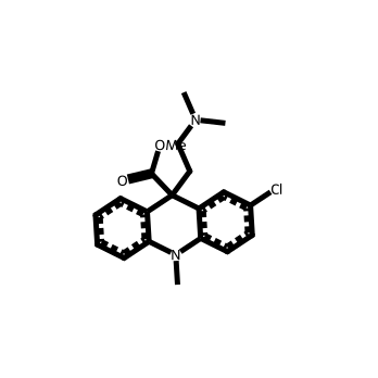 COC(=O)C1(CCN(C)C)c2ccccc2N(C)c2ccc(Cl)cc21